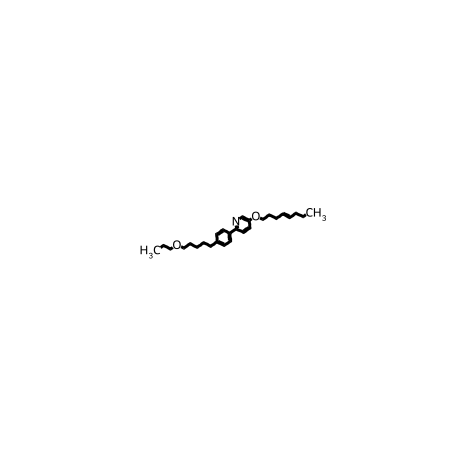 CCCC=CCCCOc1ccc(-c2ccc(CCCCCOCCC)cc2)nc1